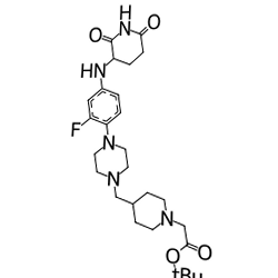 CC(C)(C)OC(=O)CN1CCC(CN2CCN(c3ccc(NC4CCC(=O)NC4=O)cc3F)CC2)CC1